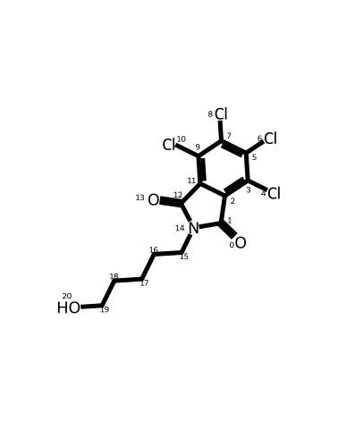 O=C1c2c(Cl)c(Cl)c(Cl)c(Cl)c2C(=O)N1CCCCCO